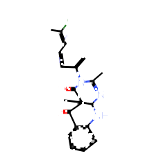 C=C(/C=C\C=C(/C)Cl)N1C(=O)C2(C)C(=O)c3ccccc3NC2N=C1C